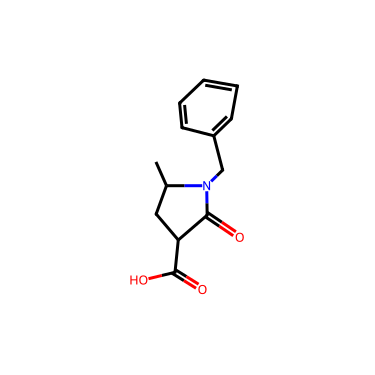 CC1CC(C(=O)O)C(=O)N1Cc1ccccc1